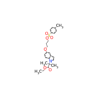 CCOC(=O)C(C)(C)n1ccc2cc(OCCCOS(=O)(=O)c3ccc(C)cc3)ccc21